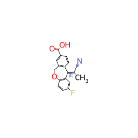 C/C(C#N)=C1/c2ccc(C(=O)O)cc2COc2ccc(F)cc21